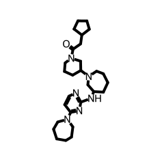 O=C(CC1CCCC1)N1CCCC(N2CCCCC(Nc3nccc(N4CCCCCC4)n3)C2)C1